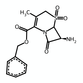 CC1=C(C(=O)OCc2ccccc2)N2C(=O)[C@H](N)C2S(=O)(=O)C1